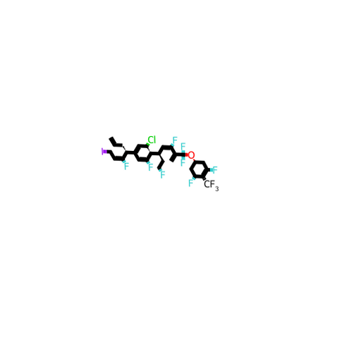 C=CC[C@H](C1=CC(Cl)[C@H]([C@@H](/C=C(/F)C(=C)C(F)(F)O[C@@H]2CC(F)=C(C(F)(F)F)C(F)C2)CCF)C(F)=C1)/C(F)=C\CI